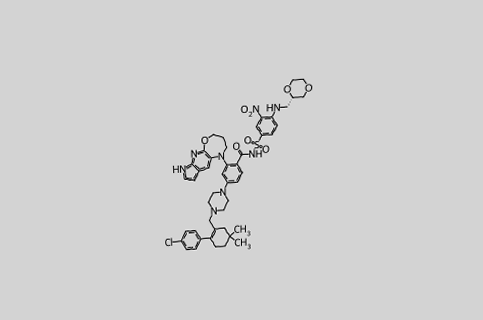 CC1(C)CCC(c2ccc(Cl)cc2)=C(CN2CCN(c3ccc(C(=O)NS(=O)(=O)c4ccc(NC[C@H]5COCCO5)c([N+](=O)[O-])c4)c(N4CCCOc5nc6[nH]ccc6cc54)c3)CC2)C1